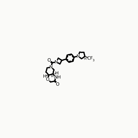 O=C1CO[C@H]2CCN(C(=O)N3CC(c4ccc(N5CC[C@@H](C(F)(F)F)C5)cc4)C3)C[C@H]2N1